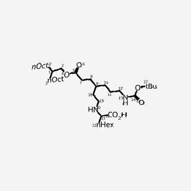 CCCCCCCCC(CCCCCCCC)COC(=O)CCC(CCCNC(=O)OC(C)(C)C)CCNC(CCCCCC)C(=O)O